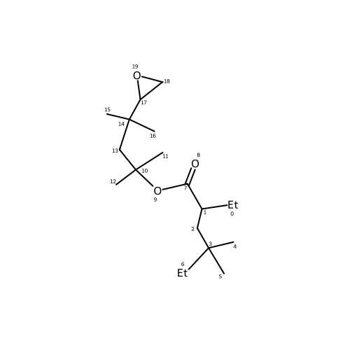 CCC(CC(C)(C)CC)C(=O)OC(C)(C)CC(C)(C)C1CO1